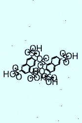 O=S(=O)(O)c1cc(S(=O)(=O)O)c2cc(OS(=O)(=O)c3c(O)c(S(=O)(=O)O)cc4cc(S(=O)(=O)O)ccc34)c(S(=O)(=O)O)cc2c1